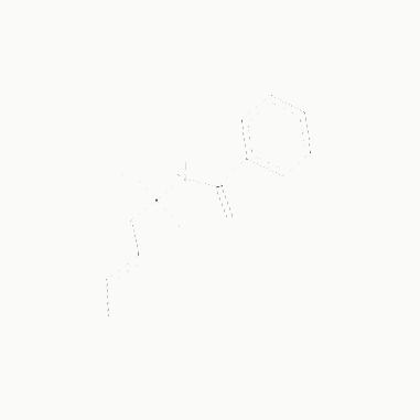 CC=CCC(NC(=O)c1ccccc1)(C(=O)O)C(F)(F)F